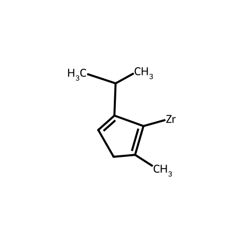 CC1=[C]([Zr])C(C(C)C)=CC1